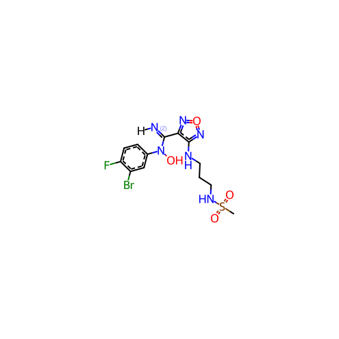 [H]/N=C(/c1nonc1NCCCNS(C)(=O)=O)N(O)c1ccc(F)c(Br)c1